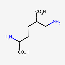 NCC(CC[C@H](N)C(=O)O)C(=O)O